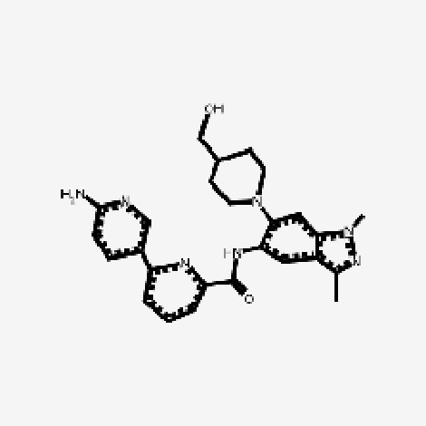 Cc1nn(C)c2cc(N3CCC(CO)CC3)c(NC(=O)c3cccc(-c4ccc(N)nc4)n3)cc12